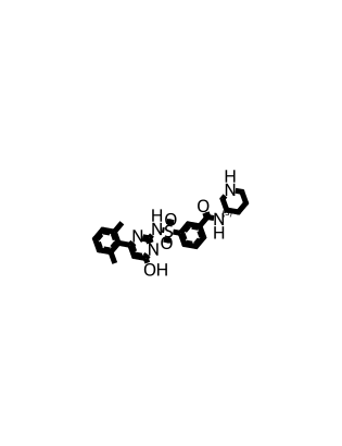 Cc1cccc(C)c1-c1cc(O)nc(NS(=O)(=O)c2cccc(C(=O)N[C@H]3CCCNC3)c2)n1